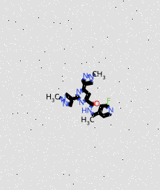 CC(NC(=O)c1cc(-c2cnn(C)c2)nc(-c2cnn(C)c2)n1)c1ccnc(F)c1